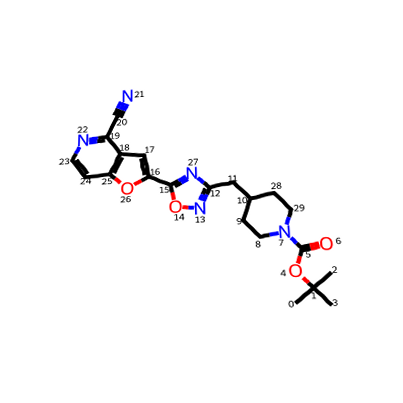 CC(C)(C)OC(=O)N1CCC(Cc2noc(-c3cc4c(C#N)nccc4o3)n2)CC1